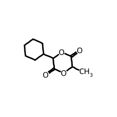 CC1OC(=O)C(C2CCCCC2)OC1=O